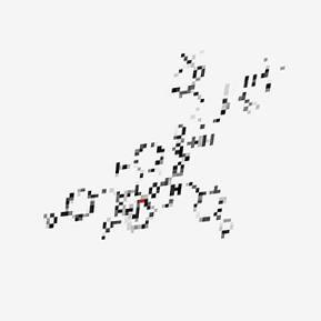 COc1ccc(CN(Cc2ccc(OC)cc2)S(=O)(=O)c2c(S(=O)(=O)NC(CNC(=O)OC(C)(C)C)CNC(=O)OC(C)(C)C)ccc(I)c2-c2nnnn2Cc2ccc(OC)cc2)cc1